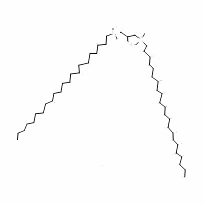 CCCCCCCCCCCCCCCCCCCCCC[N+](C)(C)CC(O)C[N+](C)(C)CCCCCCCCCCCCCCCCCCCCCC.[Cl-].[Cl-]